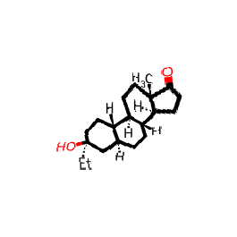 CC[C@]1(O)CC[C@H]2[C@@H](CC[C@@H]3[C@@H]2CC[C@]2(C)C(=O)CC[C@@H]32)C1